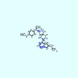 CC(c1ccc(CC#N)cc1)N1CCC2(CCN(c3ncnn4cc(CC(F)(F)F)cc34)C2)C1